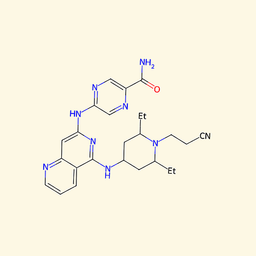 CCC1CC(Nc2nc(Nc3cnc(C(N)=O)cn3)cc3ncccc23)CC(CC)N1CCC#N